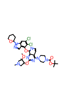 CO[C@@H]1CN(C)C[C@H]1Oc1nc(N2CCN(C(=O)OC(C)(C)C)CC2)c2ccnc(Oc3c(Cl)c(Cl)cc4c3cnn4C3CCCCO3)c2n1